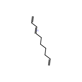 C=C/C=[C]/CCCCC=C